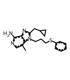 Cc1cnc(N)c2nc(CC3CC3)n(CCCSc3ccccc3)c12